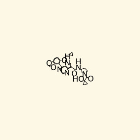 O=C(N[C@@H]1CCN(C(=O)C2(O)CC2)C1)c1c[nH]c2c(-c3c(OCC4CC4)ccc4c3OCO4)ncnc12